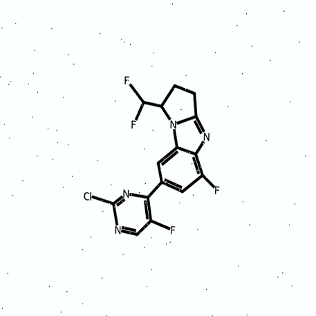 Fc1cnc(Cl)nc1-c1cc(F)c2nc3n(c2c1)C(C(F)F)CC3